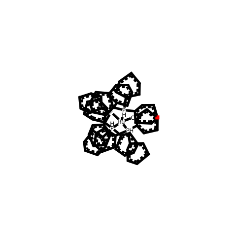 [Cl][Ru]([PH](c1ccccc1)(c1ccccc1)c1ccccc1)([PH](c1ccccc1)(c1ccccc1)c1ccccc1)([PH](c1ccccc1)(c1ccccc1)c1ccccc1)[PH](c1ccccc1)(c1ccccc1)c1ccccc1